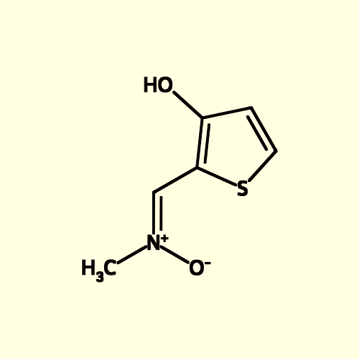 C[N+]([O-])=Cc1sccc1O